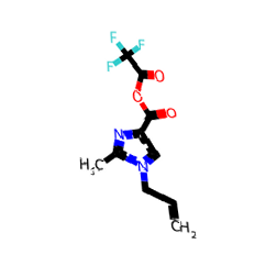 C=CCn1cc(C(=O)OC(=O)C(F)(F)F)nc1C